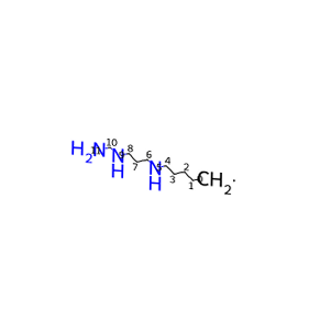 [CH2]CCCCNCCCNCN